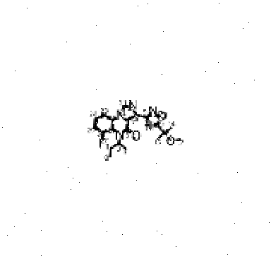 CCC(C)n1c(=O)c2c(-c3noc(C(C)(C)OC)n3)ncn2c2cccc(F)c21